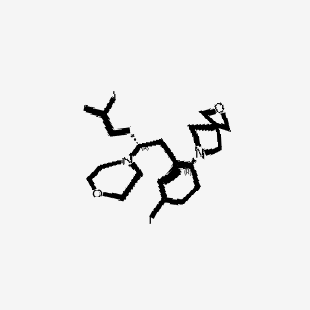 CC(I)CC[C@H](CC1=CC(I)CC[C@H]1N1CC2(COC2)C1)N1CCOCC1